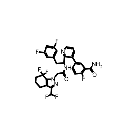 NC(=O)c1cc(-c2cccnc2C(Cc2cc(F)cc(F)c2)NC(=O)Cn2nc(C(F)F)c3c2C(F)(F)CCC3)ccc1F